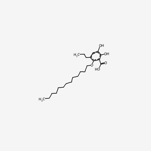 CCCCCCCCCCCCCOc1c(CCC)cc(O)c(O)c1C(=O)O